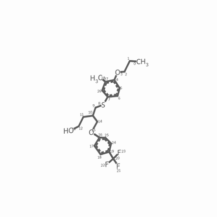 CCCOc1ccc(SCC(CCO)COc2ccc(C(F)(F)F)cc2)cc1C